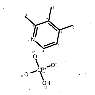 Cc1ccnc(C)c1C.[O-][Cl+3]([O-])([O-])O